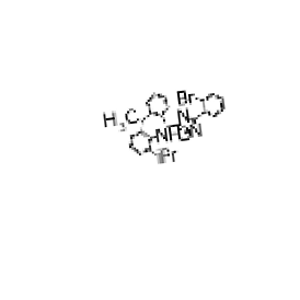 CC(C)c1cccc2c1NC(c1nc(-c3ccccc3Br)no1)c1ccccc1C2C